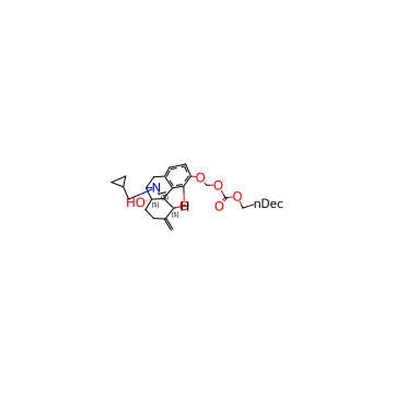 C=C1CC[C@@]2(O)C3Cc4ccc(OCOC(=O)OCCCCCCCCCCC)c5c4[C@@]2(CCN3CC2CC2)[C@H]1O5